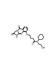 O=C1Cn2c(nc3c(OCCCC(=O)N(CCO)C4CCCCC4)cccc3c2=O)N1